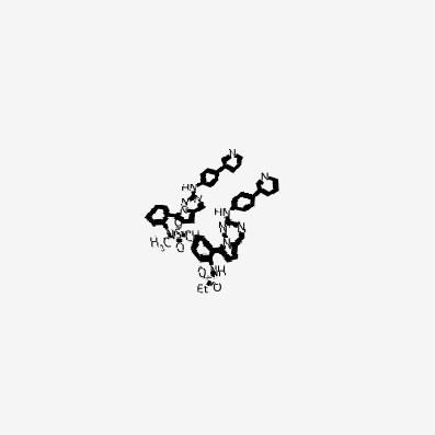 CCS(=O)(=O)Nc1ccccc1-c1ccc2cnc(Nc3ccc(-c4cccnc4)cc3)nn12.CN(c1ccccc1-c1ccc2cnc(Nc3ccc(-c4cccnc4)cc3)nn12)S(C)(=O)=O